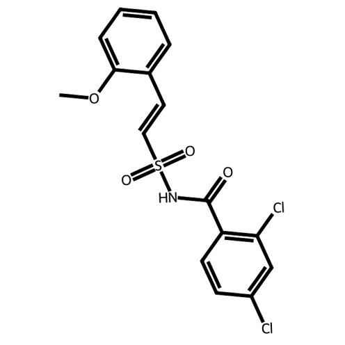 COc1ccccc1C=CS(=O)(=O)NC(=O)c1ccc(Cl)cc1Cl